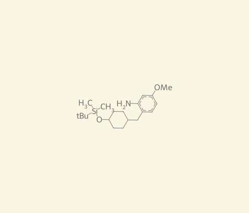 COc1ccc(CC2CCC(O[Si](C)(C)C(C)(C)C)CC2)c(N)c1